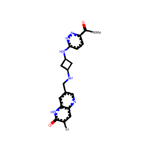 CCc1cc2ncc(CNC3CC(Nc4ccc(C(=O)NC)nn4)C3)cc2[nH]c1=O